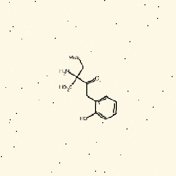 CSCC(N)(C(=O)O)C(=O)Cc1ccccc1O